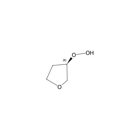 OO[C@@H]1CCOC1